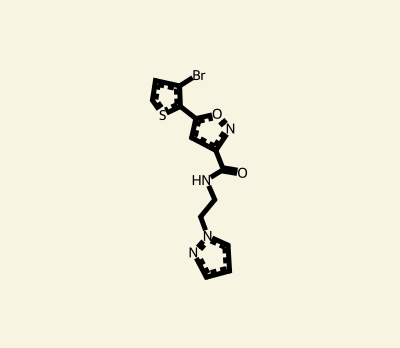 O=C(NCCn1cccn1)c1cc(-c2sccc2Br)on1